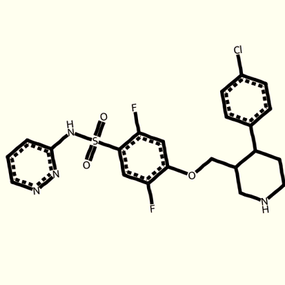 O=S(=O)(Nc1cccnn1)c1cc(F)c(OCC2CNCCC2c2ccc(Cl)cc2)cc1F